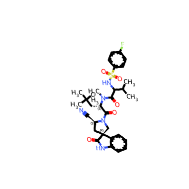 CC(C)C(NS(=O)(=O)c1ccc(F)cc1)C(=O)N(C)[C@@H](CC(C)(C)C)C(=O)N1C[C@]2(C[C@H]1C#N)C(=O)Nc1ccccc12